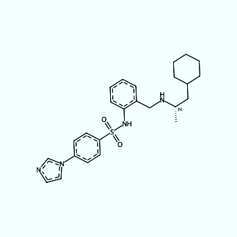 C[C@@H](CC1CCCCC1)NCc1ccccc1NS(=O)(=O)c1ccc(-n2ccnc2)cc1